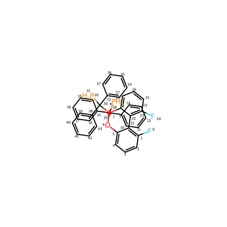 Fc1cccc(OC(P)(c2ccccc2)c2ccccc2)c1-c1c(F)cccc1OC(P)(c1ccccc1)c1ccccc1